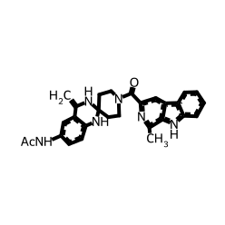 C=C1NC2(CCN(C(=O)c3cc4c([nH]c5ccccc54)c(C)n3)CC2)Nc2ccc(NC(C)=O)cc21